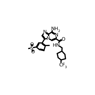 Cc1ccc(S(C)(=O)=O)cc1-c1cnc2c(N)nc(C(=O)NCC3CCC(C(F)(F)F)CC3)cn12